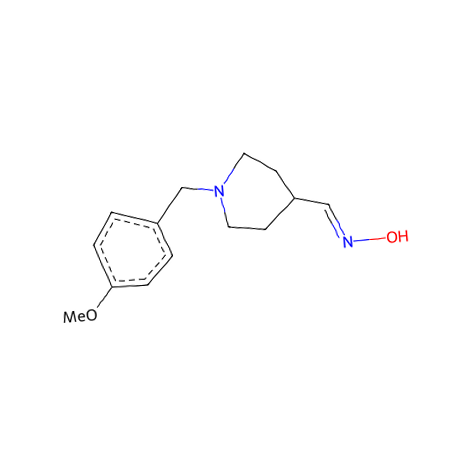 COc1ccc(CN2CCC(C=NO)CC2)cc1